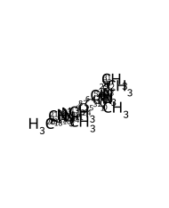 CCC(CC(C)Cc1ccc(CC(C)(C)n2cc(CC(C)C)nn2)cc1)n1cc(CC(C)C)nn1